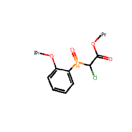 CC(C)OC(=O)C(Cl)[PH](=O)c1ccccc1OC(C)C